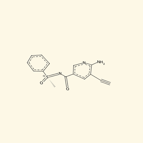 C#Cc1cc(C(=O)N=[S@@](C)(=O)c2ccccc2)cnc1N